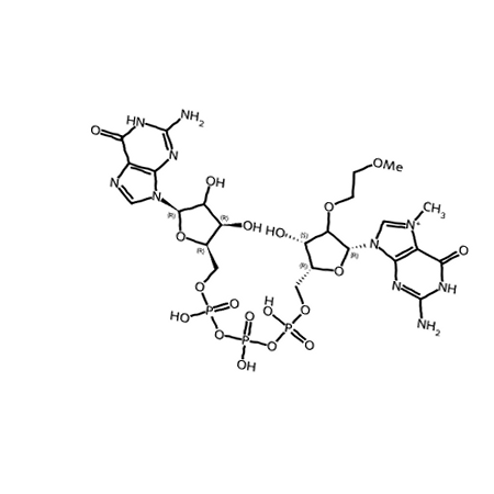 COCCOC1[C@@H](O)[C@@H](COP(=O)(O)OP(=O)(O)OP(=O)(O)OC[C@H]2O[C@@H](n3cnc4c(=O)[nH]c(N)nc43)C(O)[C@H]2O)O[C@H]1n1c[n+](C)c2c(=O)[nH]c(N)nc21